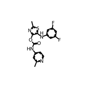 Cc1cc(NC(=O)Oc2nc(C)sc2Nc2cc(F)cc(F)c2)ccn1